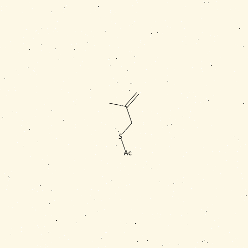 C=C(C)CSC(C)=O